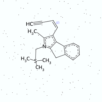 C#C/C=C\c1c2c(n(CS(C)(C)C)c1C)Cc1ccccc1-2